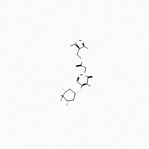 Cc1noc(C)c1CNC(=O)Cn1ncc(N[C@@H]2C[C@H](C)C(C)(C)[C@H](C)[C@H]2C)c(Br)c1=O